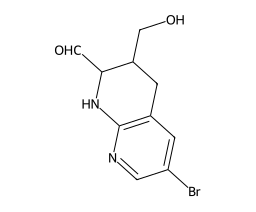 O=CC1Nc2ncc(Br)cc2CC1CO